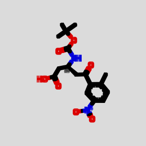 Cc1ccc([N+](=O)[O-])cc1C(=O)C[C@@H](CC(=O)O)NC(=O)OC(C)(C)C